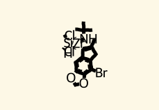 CC1=[C]([Zr]([Cl])([Cl])([NH]C(C)(C)C)[SiH](C)C)c2cc3c(c(Br)c2C1)OCO3